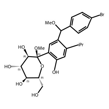 COC(c1ccc(Br)cc1)c1cc([C@]2(OC)O[C@H](CO)[C@@H](O)[C@H](O)[C@H]2O)c(O)cc1C(C)C